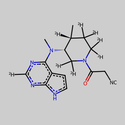 [2H]c1nc(N(C)[C@H]2C([2H])([2H])N(C(=O)C[N+]#[C-])C([2H])([2H])C([2H])([2H])[C@@]2([2H])C)c2cc[nH]c2n1